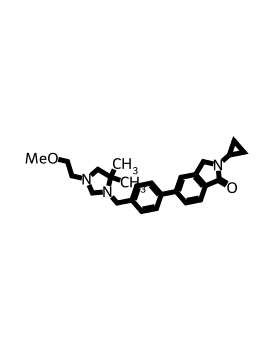 COCCN1CN(Cc2ccc(-c3ccc4c(c3)CN(C3CC3)C4=O)cc2)C(C)(C)C1